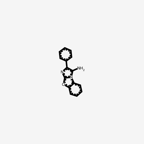 Nc1c(-c2ccccc2)nc2oc3ccccc3n12